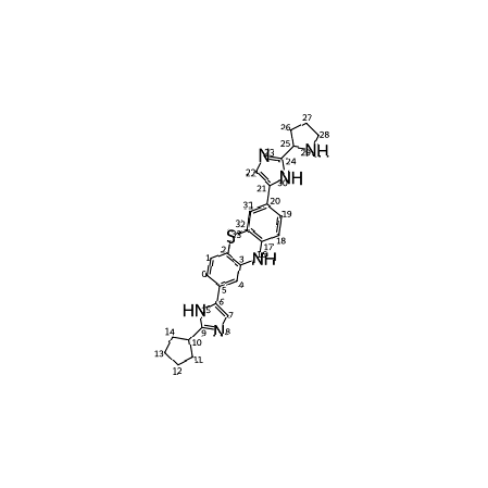 c1cc2c(cc1-c1cnc(C3CCCC3)[nH]1)Nc1ccc(-c3cnc(C4CCCN4)[nH]3)cc1S2